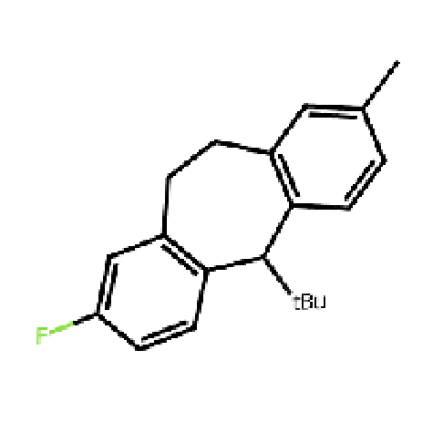 Cc1ccc2c(c1)CCc1cc(F)ccc1C2C(C)(C)C